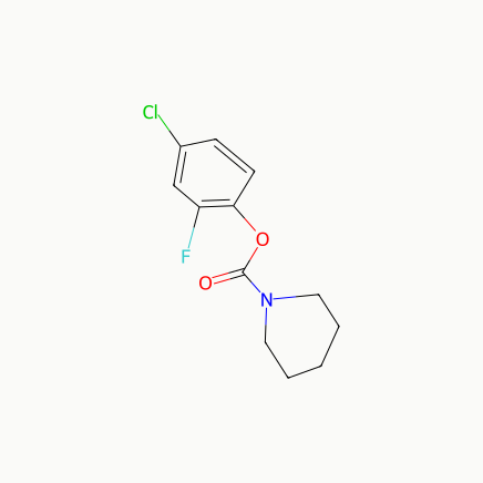 O=C(Oc1ccc(Cl)cc1F)N1CCCCC1